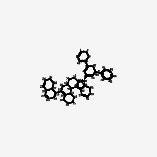 C1=CCCC(C2=CC(n3c4c(c5c3CCC3CC(C6CC=CC7C=CCCC76)=C6CCCCC6C53)C=CCC4)=CC(c3ccccc3)C2)=C1